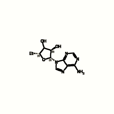 CC[C@H]1O[C@@H](n2cnc3c(N)ncnc32)[C@H](O)C1O